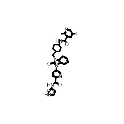 Cc1ncc(Cl)cc1C(=O)NC1CCC(Cn2c(=O)n(-c3ccc(C(=O)Nc4cc[nH]n4)nc3)c3ccccc32)CC1